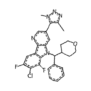 Cc1nnn(C)c1-c1cnc2c3cc(F)c(Cl)c(F)c3n(C(c3ccccc3)C3CCOCC3)c2c1